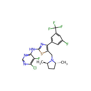 C[C@@H]1CC[C@@H](C)N1Cc1sc(Nc2ncnc(Cl)c2F)nc1-c1cc(F)cc(C(F)(F)F)c1